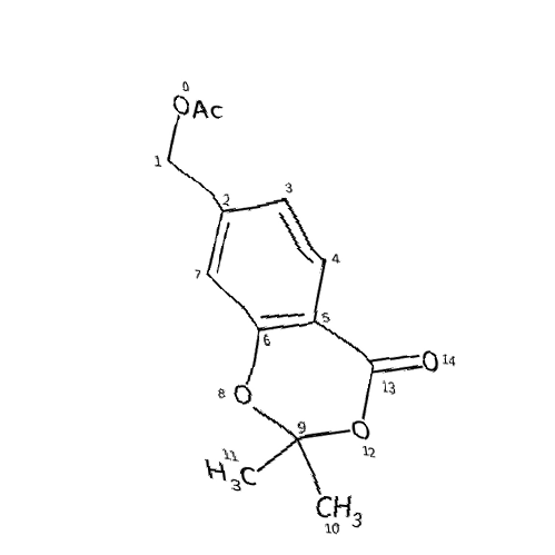 CC(=O)OCc1ccc2c(c1)OC(C)(C)OC2=O